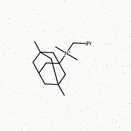 CC(C)C[N+](C)(C)C12CC3CC(C)(CC(C)(C3)C1)C2